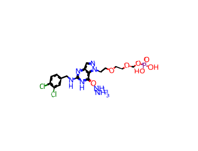 N.N.O=c1[nH]c(NCc2ccc(Cl)c(Cl)c2)nc2cnn(CCOCCOCOP(=O)(O)O)c12